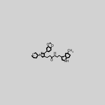 Cc1ccc2[nH]cc(CCNC(=O)CCc3cn(-c4ccccc4)nc3-c3ccc4c(c3)OCO4)c2c1